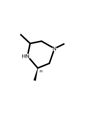 CC1CN(C)C[C@@H](C)N1